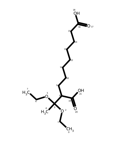 CCOC(C)(OCC)C(CCCCCCCC(=O)O)C(=O)O